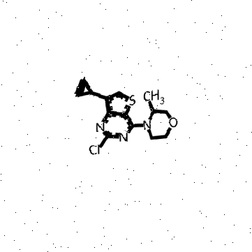 CC1COCCN1c1nc(Cl)nc2c(C3C#C3)csc12